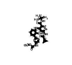 BC(B)(B)NC(=O)c1nnc(NC(=O)C2CC2)cc1Nc1cccc(-c2ncc(NC(=O)OC(C)(C)C)s2)c1OC